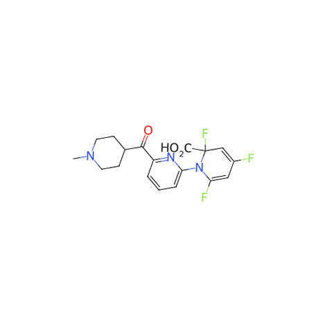 CN1CCC(C(=O)c2cccc(N3C(F)=CC(F)=CC3(F)C(=O)O)n2)CC1